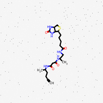 C#CCCC(C)NC(=O)CC(=O)NC(C)CNC(=O)CCCCC1SCC2NC(=O)NC21